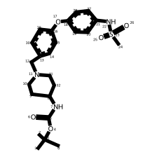 CC(C)(C)OC(=O)NC1CCN(Cc2ccc(Oc3ccc(NS(C)(=O)=O)cc3)cc2)CC1